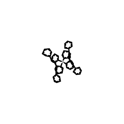 C(#Cc1ccccc1[Si](c1ccccc1C#Cc1ccccc1)(c1ccccc1C#Cc1ccccc1)c1ccccc1C#Cc1ccccc1)c1ccccc1